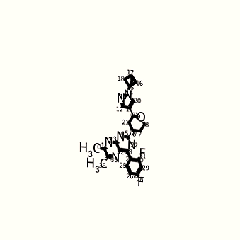 Cc1nc2nc([C@H]3CCO[C@@H](c4cnn(C56CC(C5)C6)c4)C3)nc(-c3ccc(F)cc3F)c2nc1C